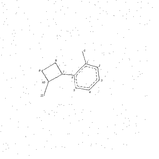 Cc1ccccc1C1CCC1C